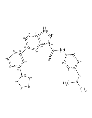 CN(C)Cc1ccc(NC(=O)c2n[nH]c3ccc(-c4cncc(N5CCCC5)c4)cc23)cn1